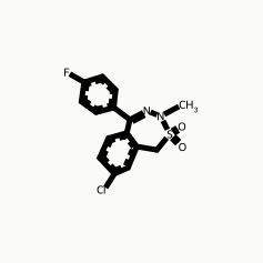 CN1N=C(c2ccc(F)cc2)c2ccc(Cl)cc2CS1(=O)=O